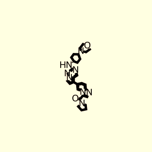 O=C(c1cnc2ccc(-c3ccn4nc(N[C@H]5CC[C@H](N6CCOCC6)CC5)ncc34)cn12)N1CCCC1